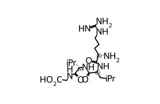 CC(C)C[C@H](NC(=O)[C@@H](N)CCCNC(=N)N)C(=O)N[C@H](C(=O)NCC(=O)O)C(C)C